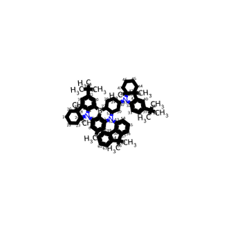 Cc1cc2c3c(c1)N1c4c(cc(C(C)(C)C)cc4C4(C)CCCCC14C)B3C1CCC(N3c4ccc(C(C)(C)C)cc4C4(C)CCCCC34C)CC1N2c1cccc2c1-c1ccccc1C2(C)C